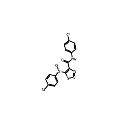 O=C(Nc1ccc(Cl)cc1)c1nnsc1[S+]([O-])c1ccc(Cl)cc1